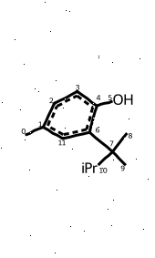 Cc1ccc(O)c(C(C)(C)C(C)C)c1